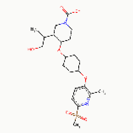 Cc1nc(S(C)(=O)=O)ccc1OC1CCC(OC2CCN(C(=O)O)CC2C(C)CO)CC1